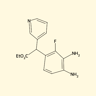 CCOC(=O)C(c1cccnc1)c1ccc(N)c(N)c1F